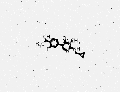 CC(C)c1ccc(-c2cnc(NCC3CC3)n(C)c2=O)cc1F